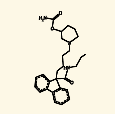 CCCNC(=O)C1(CCCCN2CCCC(OC(N)=O)C2)c2ccccc2-c2ccccc21